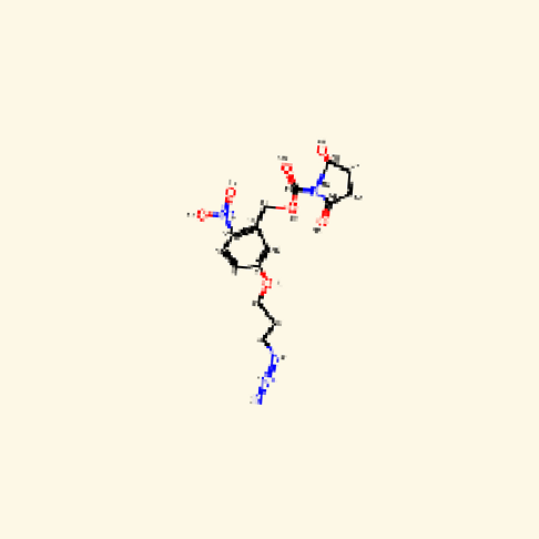 [N-]=[N+]=NCCCOc1ccc([N+](=O)[O-])c(COC(=O)N2C(=O)CCC2=O)c1